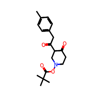 Cc1ccc(CC(=O)C2CN(OC(=O)C(C)(C)C)CCC2=O)cc1